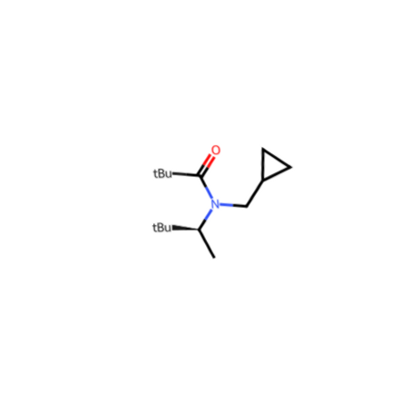 C[C@H](N(CC1CC1)C(=O)C(C)(C)C)C(C)(C)C